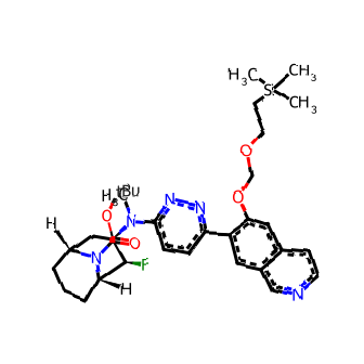 CN(c1ccc(-c2cc3cnccc3cc2OCOCC[Si](C)(C)C)nn1)[C@@H]1C[C@H]2CCC[C@@H]([C@@H]1F)N2C(=O)OC(C)(C)C